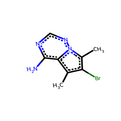 Cc1c(Br)c(C)n2ncnc(N)c12